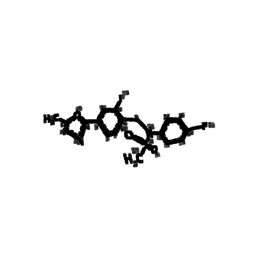 Cc1nnc(-c2ccc(CN(c3ccc(F)cc3)S(C)(=O)=O)c(F)c2)o1